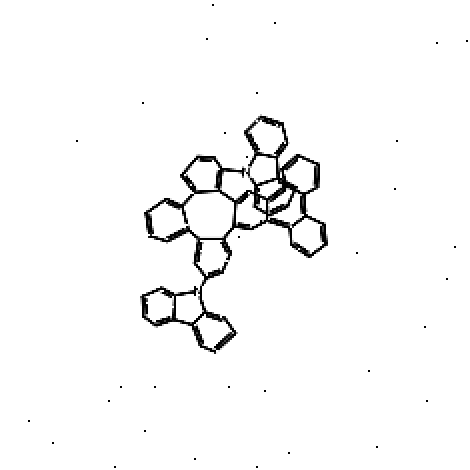 c1ccc2c(c1)-c1cc(-n3c4ccccc4c4ccccc43)ccc1-c1cc3c4ccccc4c4ccccc4c3cc1-c1c-2cccc1-n1c2ccccc2c2ccccc21